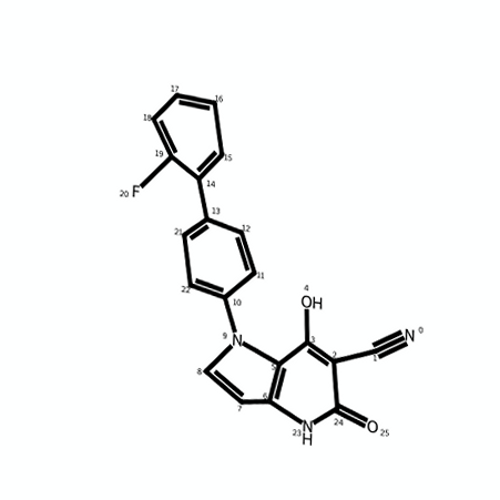 N#Cc1c(O)c2c(ccn2-c2ccc(-c3ccccc3F)cc2)[nH]c1=O